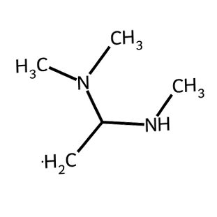 [CH2]C(NC)N(C)C